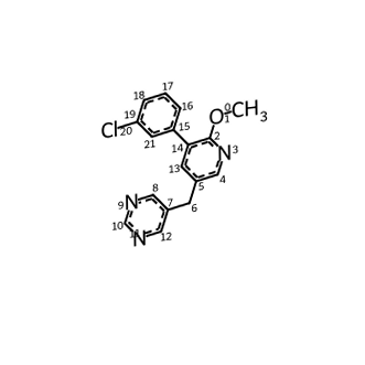 COc1ncc(Cc2cncnc2)cc1-c1cccc(Cl)c1